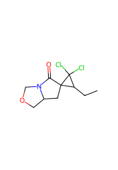 CCC1C(Cl)(Cl)C12CC1COCN1C2=O